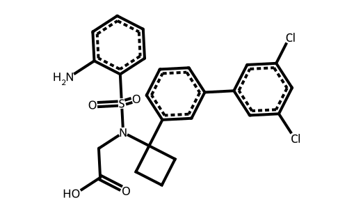 Nc1ccccc1S(=O)(=O)N(CC(=O)O)C1(c2cccc(-c3cc(Cl)cc(Cl)c3)c2)CCC1